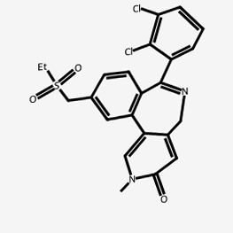 CCS(=O)(=O)Cc1ccc2c(c1)-c1cn(C)c(=O)cc1CN=C2c1cccc(Cl)c1Cl